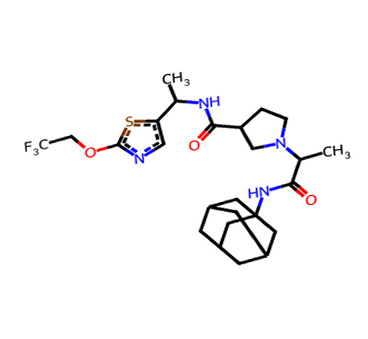 CC(NC(=O)C1CCN(C(C)C(=O)NC23CC4CC(CC(C4)C2)C3)C1)c1cnc(OCC(F)(F)F)s1